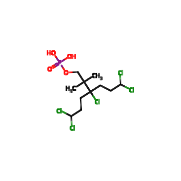 CC(C)(COP(=O)(O)O)C(Cl)(CCC(Cl)Cl)CCC(Cl)Cl